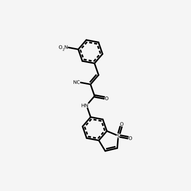 N#C/C(=C\c1cccc([N+](=O)[O-])c1)C(=O)Nc1ccc2c(c1)S(=O)(=O)C=C2